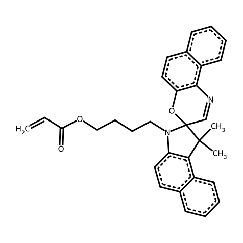 C=CC(=O)OCCCCN1c2ccc3ccccc3c2C(C)(C)C12C=Nc1c(ccc3ccccc13)O2